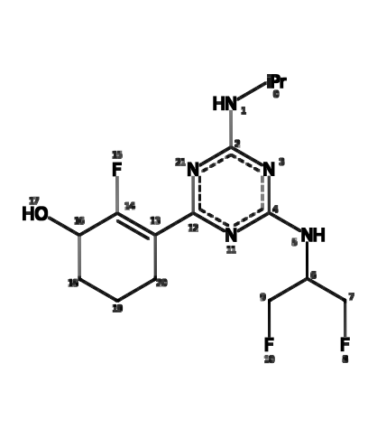 CC(C)Nc1nc(NC(CF)CF)nc(C2=C(F)C(O)CCC2)n1